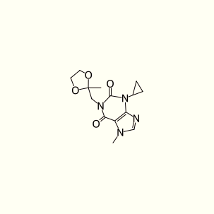 Cn1cnc2c1c(=O)n(CC1(C)OCCO1)c(=O)n2C1CC1